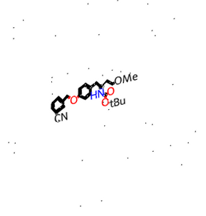 COCC[C@H](Cc1ccc(OCc2cccc(C#N)c2)cc1)NC(=O)OC(C)(C)C